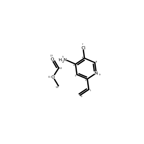 C=Cc1cc(N)c(Cl)cn1.COC=O